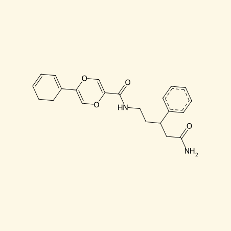 NC(=O)CC(CCNC(=O)C1=COC(C2=CC=CCC2)=CO1)c1ccccc1